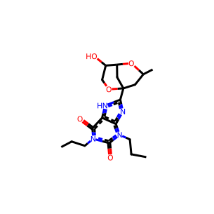 CCCn1c(=O)c2[nH]c(C34CC(C)OC(C3)C(O)CO4)nc2n(CCC)c1=O